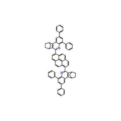 c1ccc(-c2cc(-c3ccccc3)c3nc(-c4ccc5ccc6c(-c7nc8c(-c9ccccc9)cc(-c9ccccc9)cc8c8c7C7CCC8C7)ccc7ccc4c5c76)c4c(c3c2)C2CCC4C2)cc1